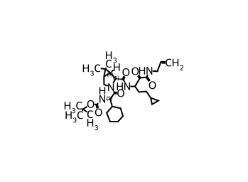 C=CCNC(=O)C(=O)C(CCC1CC1)NC(=O)[C@@H]1[C@@H]2C(CN1C(=O)[C@@H](NC(=O)OC(C)(C)C)C1CCCCC1)C2(C)C